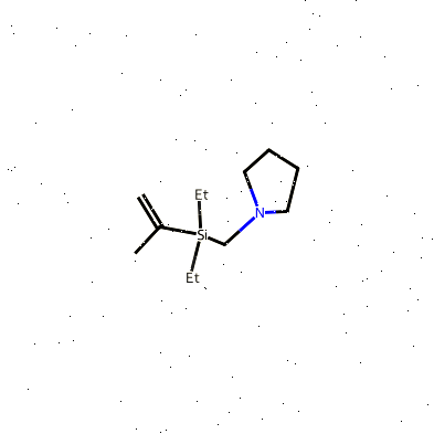 C=C(C)[Si](CC)(CC)CN1CCCC1